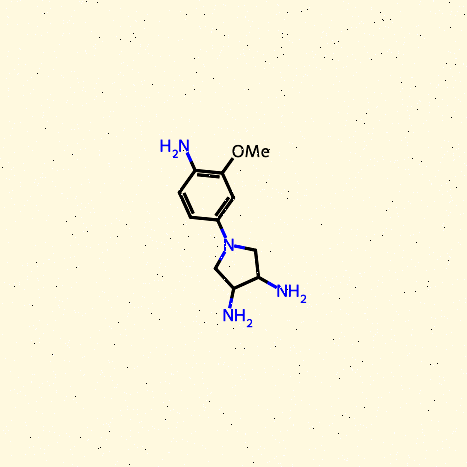 COc1cc(N2CC(N)C(N)C2)ccc1N